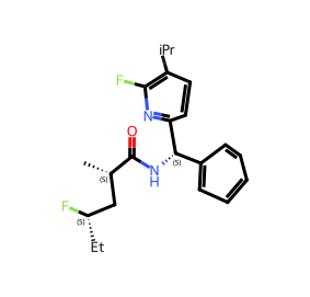 CC[C@H](F)C[C@H](C)C(=O)N[C@@H](c1ccccc1)c1ccc(C(C)C)c(F)n1